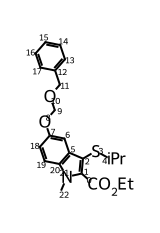 CCOC(=O)c1c(SC(C)C)c2cc(OCOCc3ccccc3)ccc2n1C